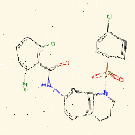 O=C(Nc1ccc2c(c1)N(S(=O)(=O)c1ccc(Cl)cc1)CCC2)c1c(Cl)cccc1Cl